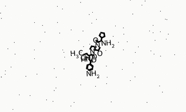 CC(C)CC(NC(=O)c1ccc(N)cc1)C(=O)N1CCC2C1C(=O)CN2C(=O)C(N)C1CCCC1